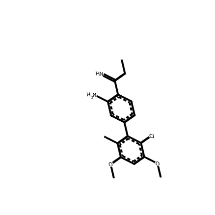 CCC(=N)c1ccc(-c2c(C)c(OC)cc(OC)c2Cl)cc1N